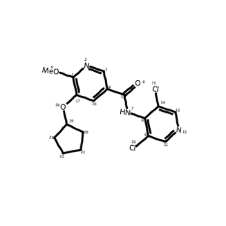 COc1ncc(C(=O)Nc2c(Cl)cncc2Cl)cc1OC1CCCC1